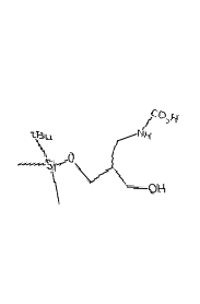 CC(C)(C)[Si](C)(C)OCC(CO)CNC(=O)O